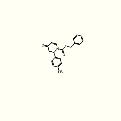 O=C1C=CN(C(=O)OCc2ccccc2)[C@@H](c2ccc(C(F)(F)F)cc2)C1